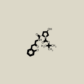 CC(C)(C)OC(=O)N1C[C@H](O)C[C@H]1C(=O)NCC(=O)Cc1ccccc1Cl